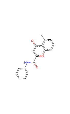 Cc1cccc2oc(C(=O)Nc3ccccc3)cc(=O)c12